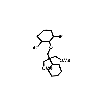 COCC(COC)(COC1C(C(C)C)CCCC1C(C)C)C1CCCCC1